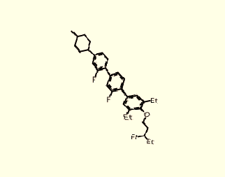 CCc1cc(-c2ccc(-c3ccc(C4CCC(C)CC4)cc3F)cc2F)cc(CC)c1OCCC(CC)CC